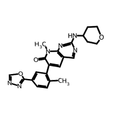 Cc1ccc(-c2nnco2)cc1-c1cc2cnc(NC3CCOCC3)nc2n(C)c1=O